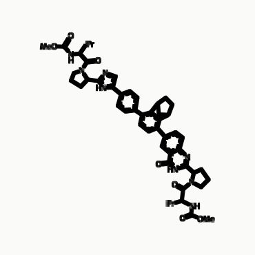 COC(=O)NC(C(=O)N1CCCC1c1ncc(-c2ccc(-c3ccc(-c4ccc5nc(C6CCCN6C(=O)C(NC(=O)OC)C(C)C)[nH]c(=O)c5c4)c4c3C3CCC4C3)cc2)[nH]1)C(C)C